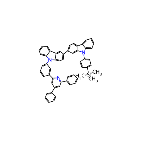 C[Si](C)(C)c1ccc(-n2c3ccccc3c3ccc(-c4ccc5c(c4)c4ccccc4n5-c4cccc(-c5cc(-c6ccccc6)cc(-c6ccccc6)n5)c4)cc32)cc1